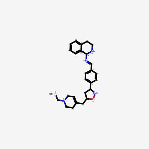 O=C(O)CN1CC=C(CC2CC(c3ccc(C=NC4NCCc5ccccc54)cc3)NO2)CC1